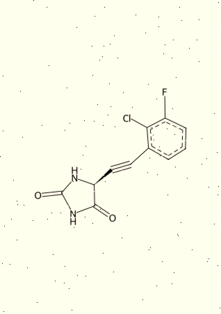 O=C1NC(=O)[C@H](C#Cc2cccc(F)c2Cl)N1